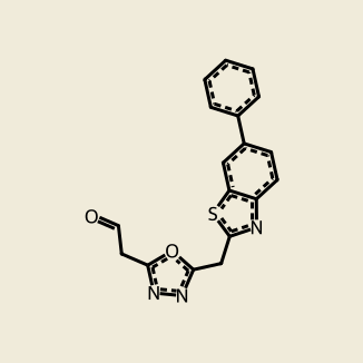 O=CCc1nnc(Cc2nc3ccc(-c4ccccc4)cc3s2)o1